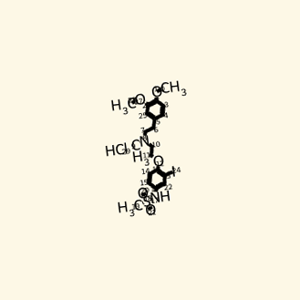 COc1ccc(CCN(C)CCOc2ccc(NS(C)(=O)=O)cc2I)cc1OC.Cl